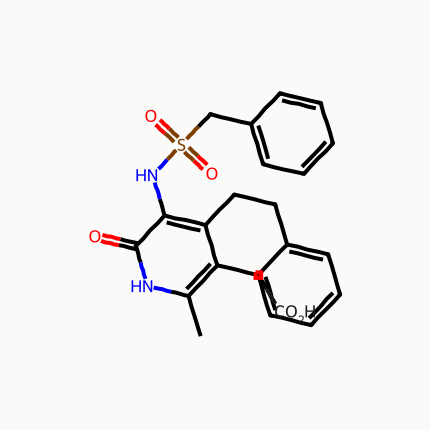 Cc1[nH]c(=O)c(NS(=O)(=O)Cc2ccccc2)c(CCc2ccccc2)c1CC(=O)O